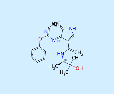 C=C(N[C@H](C)C(C)(C)O)C1=CNC(=C)/C1=N\C(=C/C)Oc1ccccc1